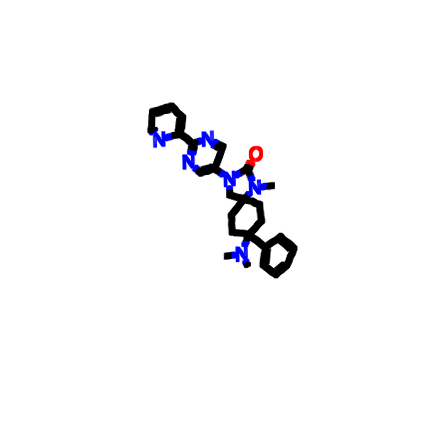 CN1C(=O)N(c2cnc(-c3ccccn3)nc2)CC12CCC(c1ccccc1)(N(C)C)CC2